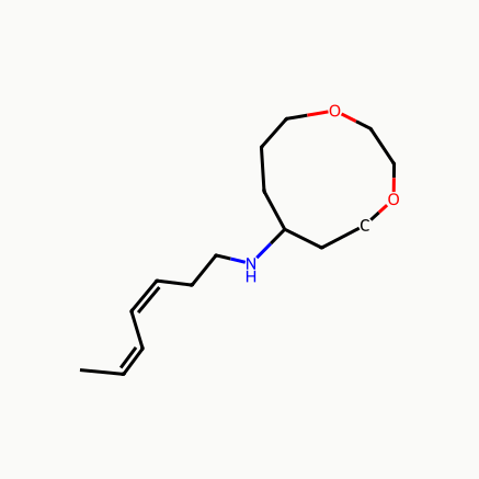 C/C=C\C=C/CCNC1CCCOCCOCC1